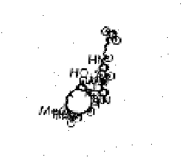 COc1cc2cc(c1Cl)N(C)C(=O)C[C@H](OC(=O)CN(C)c1ccc(/C(C)=N/NC(=O)c3ccc(NC(=O)CCCCCN4C(=O)C=CC4=O)cc3S(=O)(=O)O)cc1)C1(C)OC1C[C@@H]1C[C@@](O)(NC(=O)O1)[C@H](OC)/C=C/C=C(\C)C2